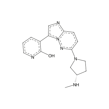 CN[C@H]1CCN(c2ccc3ncc(-c4cccnc4O)n3n2)C1